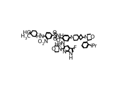 CC(C)c1ccccc1[C@@H]1COCCN1C1CC2(CCN(c3ccc(C(=O)NS(=O)(=O)c4ccc(NC[C@H]5CC[C@](C)(O)CC5)c([N+](=O)[O-])c4)c(N4C[C@@H]5COCCN5c5nc6[nH]cc(F)c6cc54)c3)CC2)C1